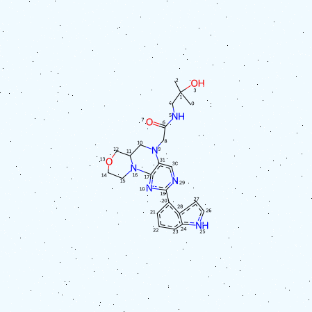 CC(C)(O)CNC(=O)CN1CC2COCCN2c2nc(-c3cccc4[nH]ccc34)ncc21